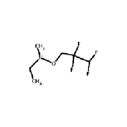 CCN(C)OCC(F)(F)C(F)F